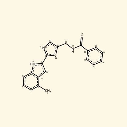 Cc1cccc2[nH]c(-c3ncc(CNC(=O)c4ccccc4)s3)cc12